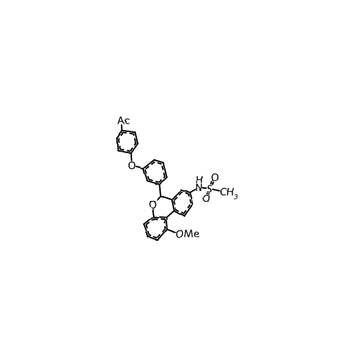 COc1cccc2c1-c1ccc(NS(C)(=O)=O)cc1C(c1cccc(Oc3ccc(C(C)=O)cc3)c1)O2